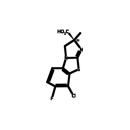 C[C@]1(C(=O)O)CN2C(=N1)Sc1c2ccc(F)c1Cl